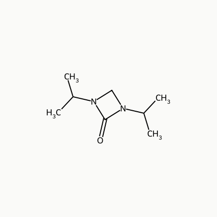 CC(C)N1CN(C(C)C)C1=O